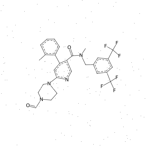 Cc1ccccc1-c1cc(N2CCN(C=O)CC2)ncc1C(=O)N(C)Cc1cc(C(F)(F)F)cc(C(F)(F)F)c1